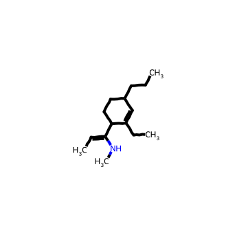 C/C=C(\NC)C1CCC(CCC)C=C1CC